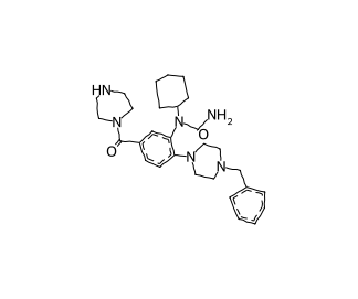 NC(=O)N(c1cc(C(=O)N2CCNCC2)ccc1N1CCN(Cc2ccccc2)CC1)C1CCCCC1